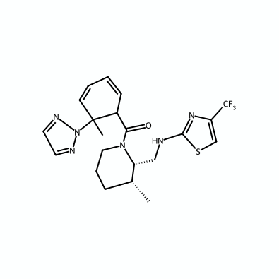 C[C@@H]1CCCN(C(=O)C2C=CC=CC2(C)n2nccn2)[C@@H]1CNc1nc(C(F)(F)F)cs1